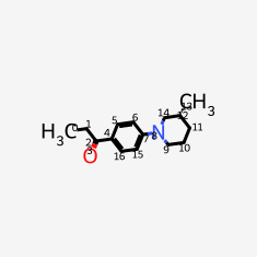 CCC(=O)c1ccc(N2CCC[C@@H](C)C2)cc1